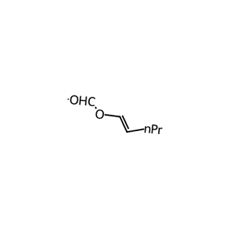 CCC/C=C/O[C]=O